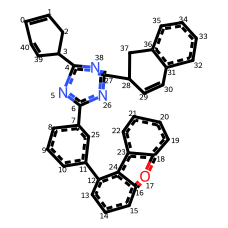 C1=CCC(c2nc(-c3cccc(-c4cccc5oc6ccccc6c45)c3)nc(C3C=Cc4ccccc4C3)n2)C=C1